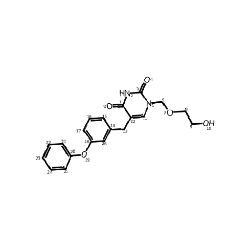 O=c1[nH]c(=O)n(COCCO)cc1Cc1cccc(Oc2ccccc2)c1